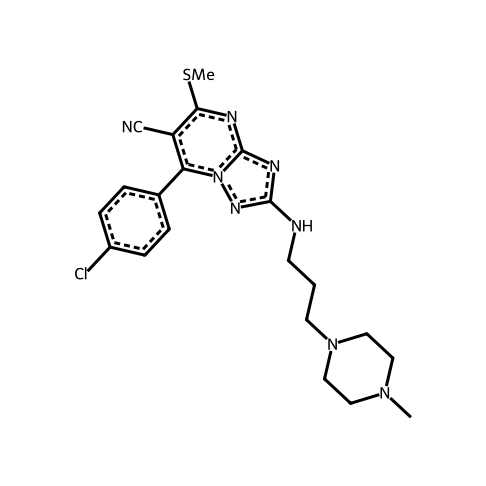 CSc1nc2nc(NCCCN3CCN(C)CC3)nn2c(-c2ccc(Cl)cc2)c1C#N